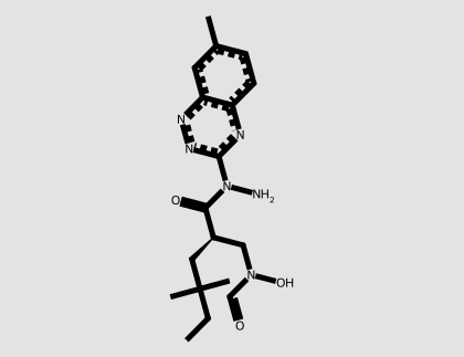 CCC(C)(C)C[C@H](CN(O)C=O)C(=O)N(N)c1nnc2cc(C)ccc2n1